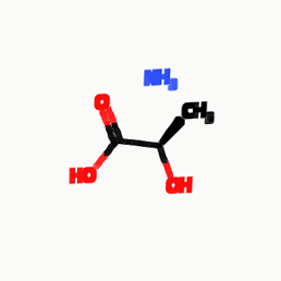 C[C@@H](O)C(=O)O.N